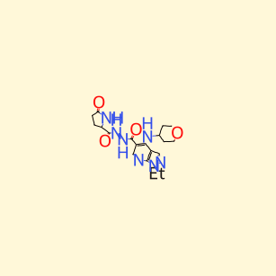 CCn1ncc2c(NC3CCOCC3)c(C(=O)NNC(=O)C3CCC(=O)N3)cnc21